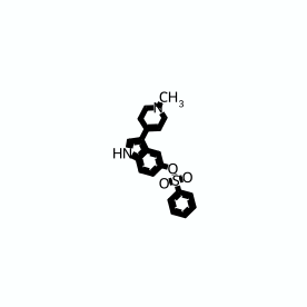 CN1CC=C(c2c[nH]c3ccc(OS(=O)(=O)c4ccccc4)cc23)CC1